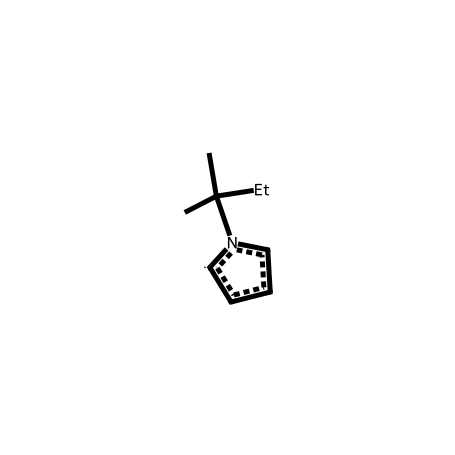 CCC(C)(C)n1[c]ccc1